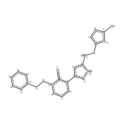 O=c1c(-c2cc(NCc3ccc(Cl)s3)[nH]n2)cccn1CCc1ccccn1